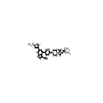 Cn1cc(-c2cc(-c3ccc(N4CCN(S(=O)(=O)CC(C)(C)C)CC4)nc3)c3c(C#N)cnn3c2)cn1